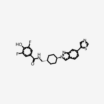 O=C(NC[C@H]1CC[C@H](n2cc3ccc(-c4cncs4)cc3n2)CC1)c1cc(F)c(O)c(F)c1